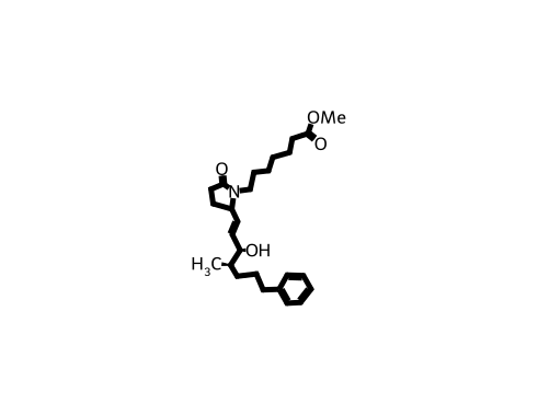 COC(=O)CCCCCCN1C(=O)CCC1C=C[C@@H](O)[C@H](C)CCCc1ccccc1